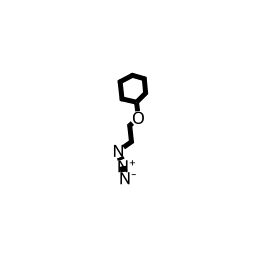 [N-]=[N+]=NCCOC1CCCCC1